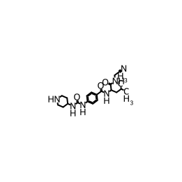 CC(C)CC(NC(=O)c1ccc(NC(=O)NC2CCNCC2)cc1)C(=O)NCC#N